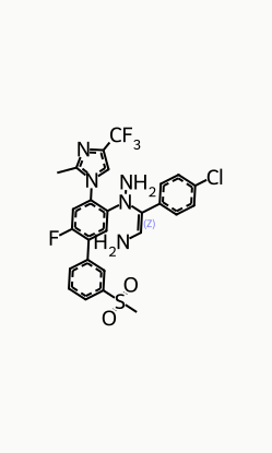 Cc1nc(C(F)(F)F)cn1-c1cc(F)c(-c2cccc(S(C)(=O)=O)c2)cc1N(N)/C(=C\N)c1ccc(Cl)cc1